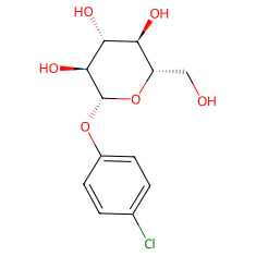 OC[C@@H]1O[C@H](Oc2ccc(Cl)cc2)[C@@H](O)[C@H](O)[C@H]1O